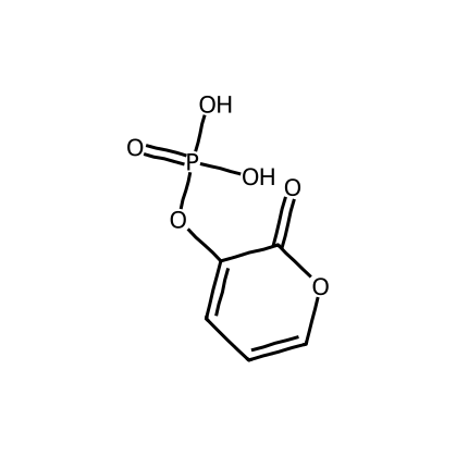 O=c1occcc1OP(=O)(O)O